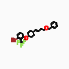 FC(F)(F)c1c(Br)cccc1OC1CCC(/C=C/CCOCc2ccccc2)CC1